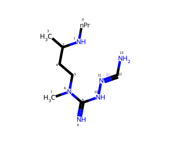 CCCNC(C)CCN(C)C(=N)N/N=C/N